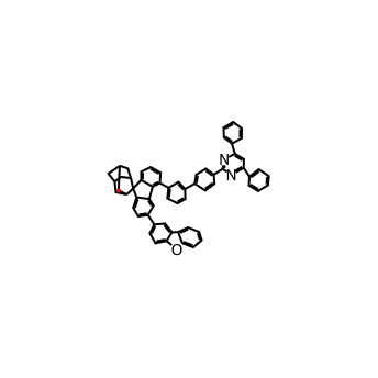 c1ccc(-c2cc(-c3ccccc3)nc(-c3ccc(-c4cccc(-c5cccc6c5-c5cc(-c7ccc8oc9ccccc9c8c7)ccc5C65C6CC7CC(C6)CC5C7)c4)cc3)n2)cc1